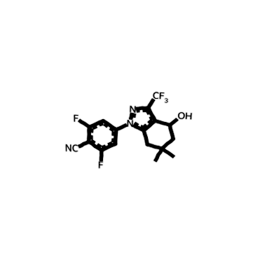 CC1(C)Cc2c(c(C(F)(F)F)nn2-c2cc(F)c(C#N)c(F)c2)C(O)C1